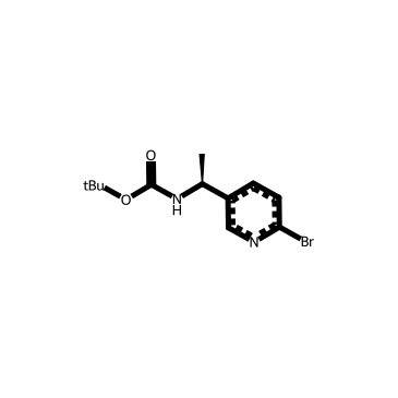 C[C@H](NC(=O)OC(C)(C)C)c1ccc(Br)nc1